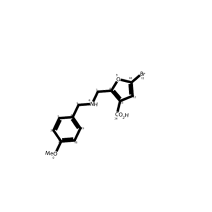 COc1ccc(CNCc2oc(Br)cc2C(=O)O)cc1